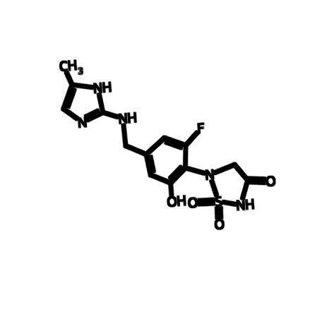 Cc1cnc(NCc2cc(O)c(N3CC(=O)NS3(=O)=O)c(F)c2)[nH]1